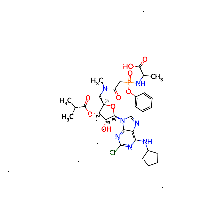 CC(C)C(=O)O[C@H]1[C@@H](O)[C@H](n2cnc3c(NC4CCCC4)nc(Cl)nc32)O[C@@H]1CN(C)C(=O)CP(=O)(NC(C)C(=O)O)Oc1ccccc1